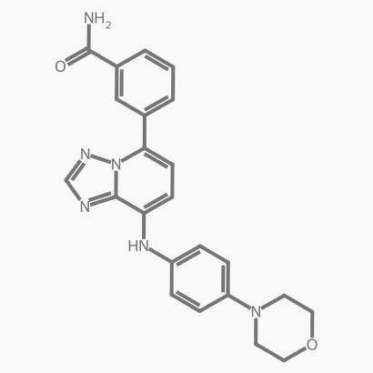 NC(=O)c1cccc(-c2ccc(Nc3ccc(N4CCOCC4)cc3)c3ncnn23)c1